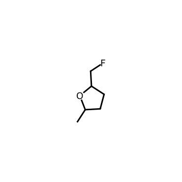 CC1CCC(CF)O1